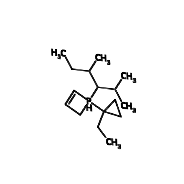 CCC(C)C(C(C)C)[PH]1(C2(CC)CC2)C=CC1